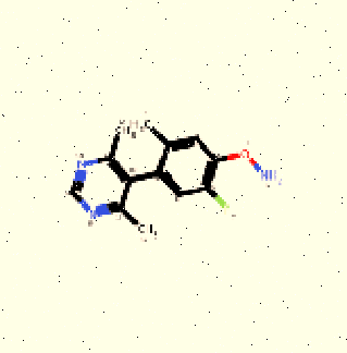 Cc1cc(ON)c(F)cc1-c1c(C)ncnc1C